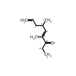 C=CCC(C)/C=C(\C)C(=O)CC